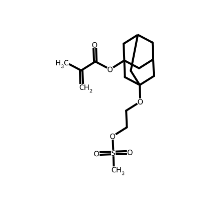 C=C(C)C(=O)OC12CC3CC(CC(OCCOS(C)(=O)=O)(C3)C1)C2